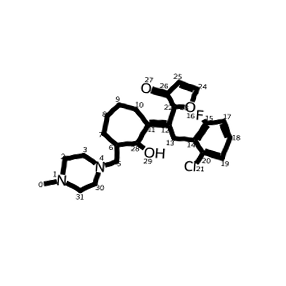 CN1CCN(CC2CCCCC(=C(Cc3c(F)cccc3Cl)C3OC=CC3=O)C2O)CC1